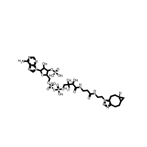 CC(C)(COP(=O)(O)OP(=O)(O)OCC1OC(n2cnc3c(N)ncnc32)C(O)C1OP(=O)(O)O)C(O)C(=O)NCCC(=O)NCCn1nnc2c1CC[C@@H]1CC1CC2